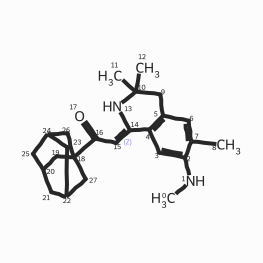 CNc1cc2c(cc1C)CC(C)(C)N/C2=C\C(=O)C12CC3CC(CC(C3)C1)C2